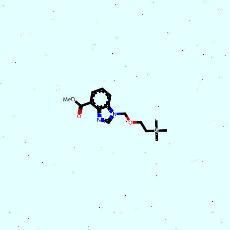 COC(=O)c1cccc2c1ncn2COCC[Si](C)(C)C